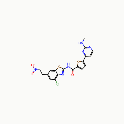 CNc1nccc(-c2ccc(C(=O)Nc3nc4c(Cl)cc(CC[N+](=O)[O-])cc4s3)s2)n1